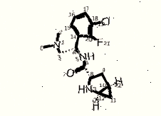 CN(C)C[C@@H](NC(=O)[C@@H]1C[C@H]2C[C@H]2N1)c1cccc(Cl)c1F